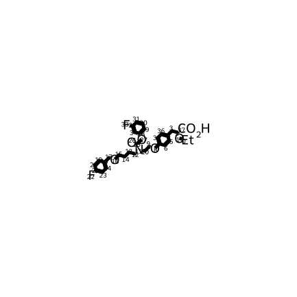 CCOC(Cc1ccc(OCCN(CCCCOCc2ccc(F)cc2)C(=O)Oc2cccc(F)c2)cc1)C(=O)O